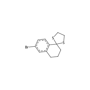 Brc1ccc2c(c1)CCCC21SCCS1